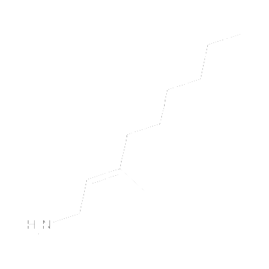 CCCCCC/C(C)=C/CN